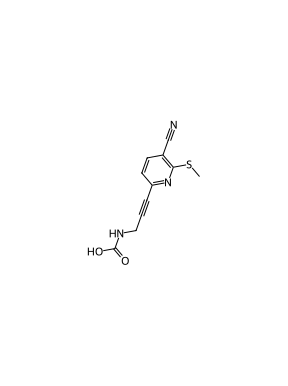 CSc1nc(C#CCNC(=O)O)ccc1C#N